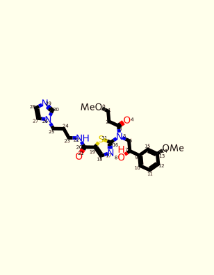 COCCC(=O)N(CC(O)c1cccc(OC)c1)c1ncc(C(=O)NCCCn2ccnc2)s1